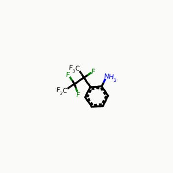 Nc1ccccc1C(F)(C(F)(F)F)C(F)(F)C(F)(F)F